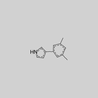 Cc1cc(C)cc(-c2cc[nH]c2)c1